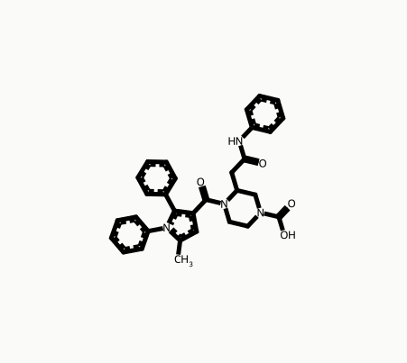 Cc1cc(C(=O)N2CCN(C(=O)O)CC2CC(=O)Nc2ccccc2)c(-c2ccccc2)n1-c1ccccc1